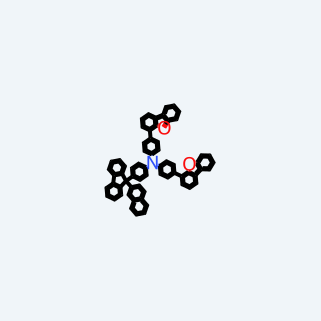 c1ccc2c(c1)-c1ccccc1C2(c1ccc(N(c2ccc(-c3cccc4c3oc3ccccc34)cc2)c2ccc(-c3cccc4c3oc3ccccc34)cc2)cc1)c1ccc2ccccc2c1